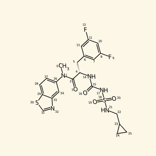 CN(C(=O)[C@H](Cc1cc(F)cc(F)c1)NC(=O)NS(=O)(=O)NCC1CC1)c1ccc2scnc2c1